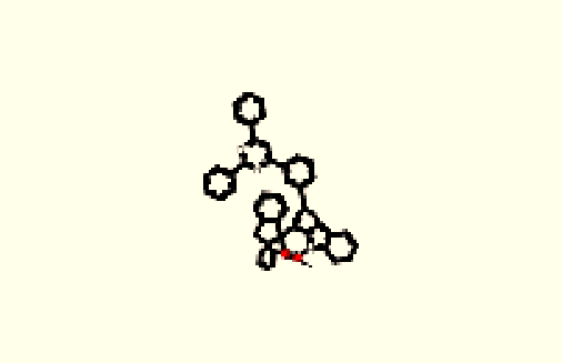 C1=CCC2(C=C1)Cc1ccccc1C21C2=CC(c3cccc(-c4cc(-c5ccccc5)nc(-c5ccccc5)n4)c3)Cc3c4c(n(c32)-c2ccccc21)CCC=C4